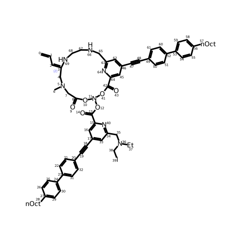 C=C/C=C1/CN(C)CC(=O)ON(OC(=O)c2cc(C#Cc3ccc(-c4ccc(CCCCCCCC)cc4)cc3)cc(CN(CC)CI)n2)OC(=O)c2cc(C#Cc3ccc(-c4ccc(CCCCCCCC)cc4)cc3)cc(n2)CNCCN1